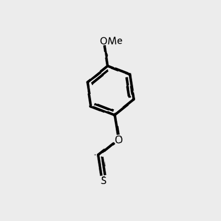 COc1ccc(O[C]=S)cc1